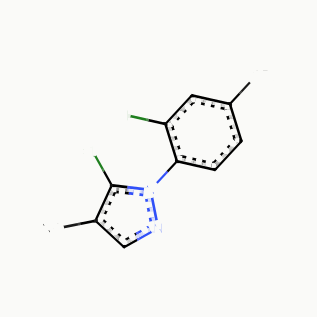 N#Cc1cnn(-c2ccc(C(F)(F)F)cc2Cl)c1Cl